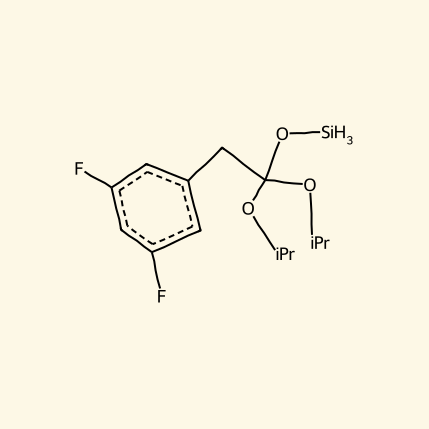 CC(C)OC(Cc1cc(F)cc(F)c1)(O[SiH3])OC(C)C